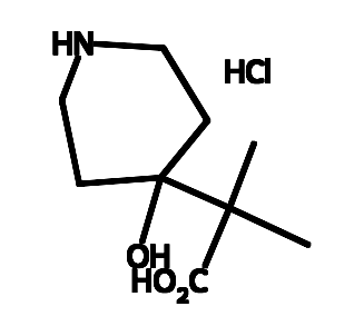 CC(C)(C(=O)O)C1(O)CCNCC1.Cl